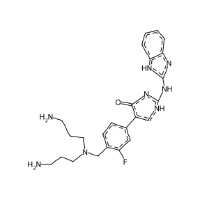 NCCCN(CCCN)Cc1ccc(-c2c[nH]c(Nc3nc4ccccc4[nH]3)nc2=O)cc1F